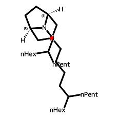 CCCCCCC(CCCCC)CCCCN1C[C@H]2CC[C@@H](C1)N2CC(CCCCC)CCCCCC